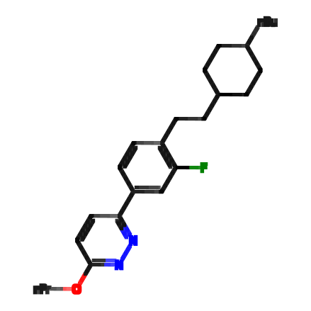 CCCCC1CCC(CCc2ccc(-c3ccc(OCCC)nn3)cc2F)CC1